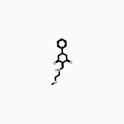 COCCNC=C1C(=O)CC(c2ccccc2)CC1=O